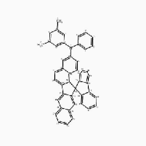 Cc1cc(C)cc(N(c2ccccc2)c2ccc3c4c(ccc3c2)-c2cc3ccccc3cc2C42c3ccccc3-c3ccccc32)c1